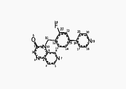 O=c1cnc2ccncc2n1Cc1ccc(-c2ccncc2)cc1F